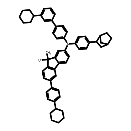 CC1(C)c2ccc(-c3ccc(C4CCCCC4)cc3)cc2-c2ccc(N(c3ccc(-c4cccc(C5CCCCC5)c4)cc3)c3ccc(C4CC5CCC4C5)cc3)cc21